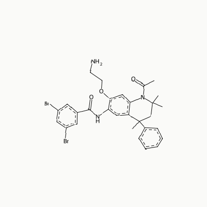 CC(=O)N1c2cc(OCCN)c(NC(=O)c3cc(Br)cc(Br)c3)cc2C(C)(c2ccccc2)CC1(C)C